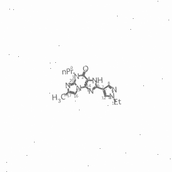 CCCn1c(=O)c2[nH]c(-c3cnn(CC)c3)nc2n2cc(C)nc12